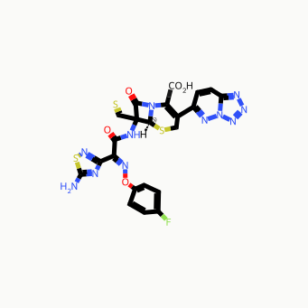 Nc1nc(C(=NOc2ccc(F)cc2)C(=O)NC2(C=S)C(=O)N3C(C(=O)O)=C(c4ccc5nnnn5n4)CS[C@H]32)ns1